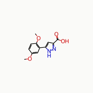 COc1ccc(OC)c(-c2cc(C(=O)O)n[nH]2)c1